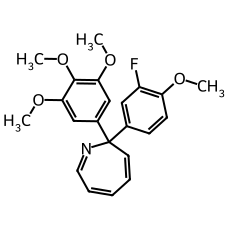 COc1ccc(C2(c3cc(OC)c(OC)c(OC)c3)C=CC=CC=N2)cc1F